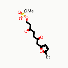 CCc1ccc(CC(=O)CCC(=O)CCOS(=O)(=O)OC)o1